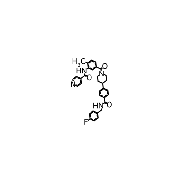 Cc1ccc(C(=O)N2CCC(c3ccc(C(=O)NCc4ccc(F)cc4)cc3)CC2)cc1NC(=O)c1ccncc1